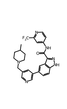 CC1CCN(Cc2cncc(-c3ccc4[nH]nc(C(=O)Nc5ccnc(C(F)(F)F)c5)c4c3)c2)CC1